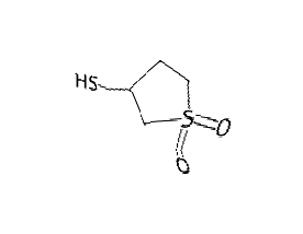 O=S1(=O)CCC(S)C1